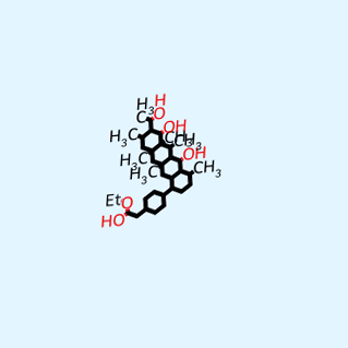 CCOC(O)CC1CCC(C2CCC(C)C3C(O)C4C(C)C5(C)C(O)C(C(C)O)C(C)CC5(C)CC4(C)CC23)CC1